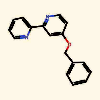 c1ccc(COc2ccnc(-c3ccccn3)c2)cc1